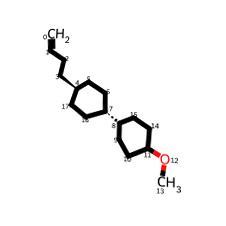 C=CCC[C@H]1CC[C@H](C2CCC(OC)CC2)CC1